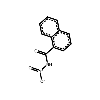 O=C(N[N+](=O)[O-])c1cccc2ccccc12